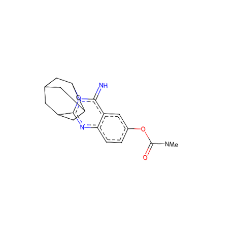 CNC(=O)Oc1ccc2nc3n(c(=N)c2c1)C1CC2CC(CC3C2)C1